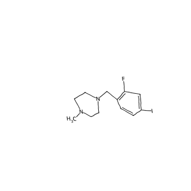 CN1CCN(Cc2ccc(I)cc2F)CC1